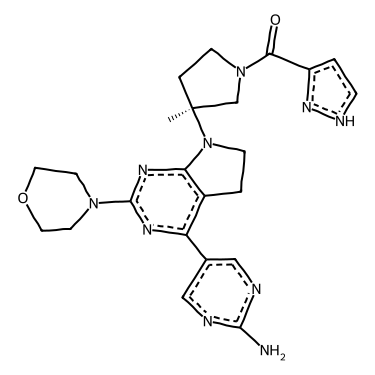 C[C@]1(N2CCc3c(-c4cnc(N)nc4)nc(N4CCOCC4)nc32)CCN(C(=O)c2cc[nH]n2)C1